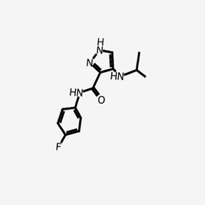 CC(C)Nc1c[nH]nc1C(=O)Nc1ccc(F)cc1